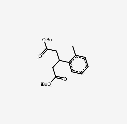 Cc1ccccc1C(CC(=O)OCC(C)C)CC(=O)OCC(C)C